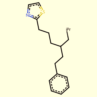 CC(C)C[C](CCCc1nccs1)CCc1ccccc1